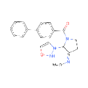 CON=C1CCN(C(=O)c2ccc(-c3ccccc3)cc2)C1N1C=CON1